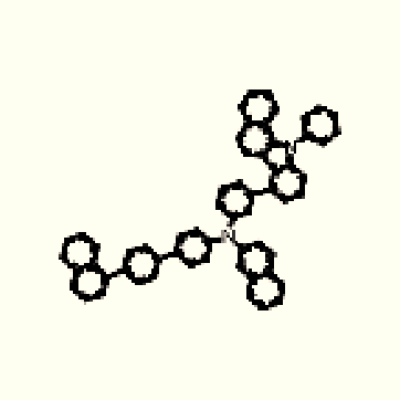 c1ccc(-n2c3cccc(-c4cccc(N(c5ccc(-c6ccc(-c7cccc8ccccc78)cc6)cc5)c5ccc6ccccc6c5)c4)c3c3ccc4ccccc4c32)cc1